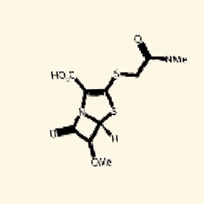 CNC(=O)CSC1=C(C(=O)O)N2C(=O)C(OC)[C@H]2S1